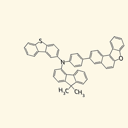 CC1(C)c2ccccc2-c2c(N(c3ccc(-c4ccc5c(ccc6oc7ccccc7c65)c4)cc3)c3ccc4sc5ccccc5c4c3)cccc21